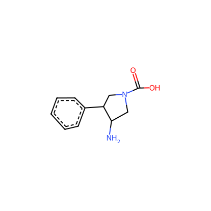 NC1CN(C(=O)O)CC1c1ccccc1